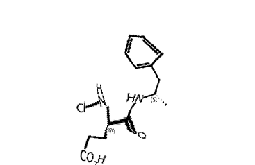 C[C@@H](Cc1ccccc1)NC(=O)[C@@H](CCC(=O)O)NCl